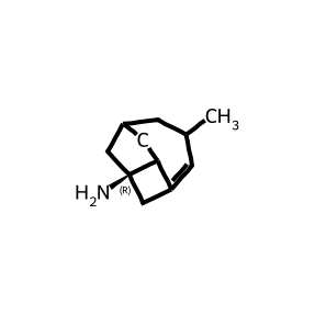 CC1C=C2C[C@]3(N)CC(C1)CC23